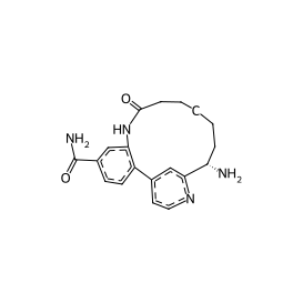 NC(=O)c1ccc2c(c1)NC(=O)CCCCC[C@H](N)c1cc-2ccn1